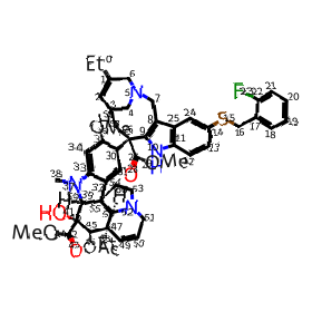 CCC1=C[C@H]2CN(C1)Cc1c([nH]c3ccc(SCc4ccccc4F)cc13)[C@@](C(=O)OC)(C1C=C3C(=CC1OC)N(C)[C@H]1[C@@](O)(C(=O)OC)[C@H](OC(C)=O)[C@]4(CC)C=CCN5CC[C@]31[C@@H]54)C2